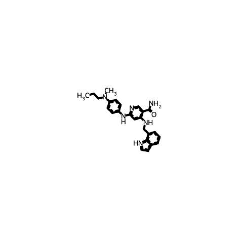 CCCN(C)c1ccc(Nc2cc(NCc3cccc4cc[nH]c34)c(C(N)=O)cn2)cc1